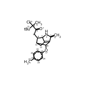 C=C1NC2C(CC(=O)C(C)(Cl)C(C)(C)C)C3CC2C1C3Oc1ccc(C)cc1